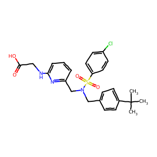 CC(C)(C)c1ccc(CN(Cc2cccc(NCC(=O)O)n2)S(=O)(=O)c2ccc(Cl)cc2)cc1